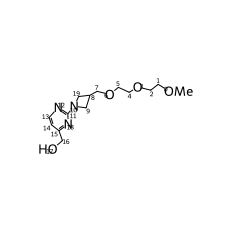 COCCOCCOCC1CN(c2nccc(CO)n2)C1